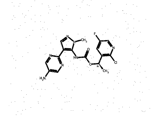 C[C@@H](OC(=O)Nc1c(-c2ncc(N)cn2)cnn1C)c1cc(F)cnc1Cl